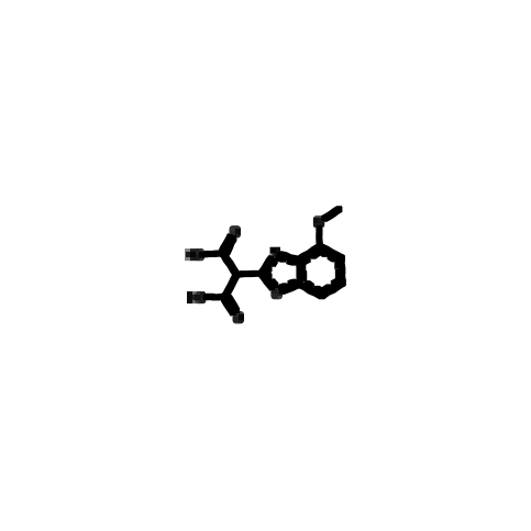 COc1cccc2oc(C(C(=O)O)C(=O)O)nc12